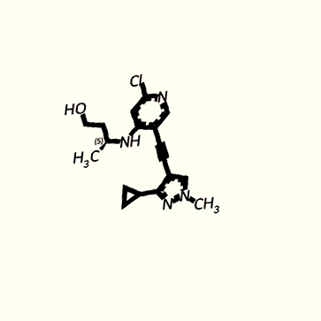 C[C@@H](CCO)Nc1cc(Cl)ncc1C#Cc1cn(C)nc1C1CC1